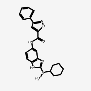 CN(c1nc2cc(NC(=O)c3cc(-c4ccccc4)no3)ccc2[nH]1)C1CCCCC1